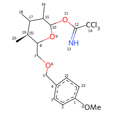 COc1ccc(COCC2OC(OC(=N)C(Cl)(Cl)Cl)C(C)C(C)[C@@H]2C)cc1